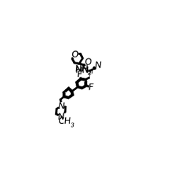 CN1CCN(Cc2ccc(-c3cc(F)c(C[C@@H](C#N)NC(=O)C4(N)CCOCC4)c(F)c3)cc2)CC1